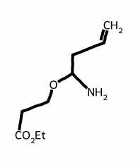 C=CCC(N)OCCC(=O)OCC